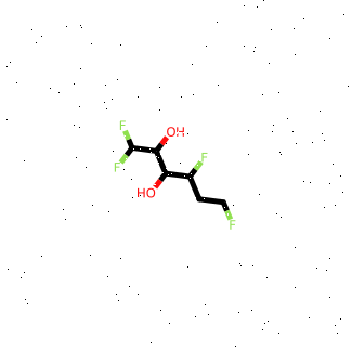 OC(C(F)F)C(O)C(F)CCF